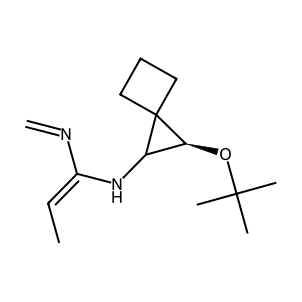 C=N/C(=C/C)NC1[C@H](OC(C)(C)C)C12CCC2